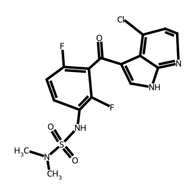 CN(C)S(=O)(=O)Nc1ccc(F)c(C(=O)c2c[nH]c3nccc(Cl)c23)c1F